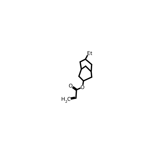 C=CC(=O)OC1CC2CC(CC)CC(C2)C1